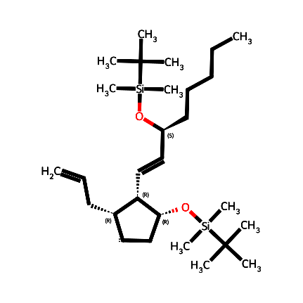 C=CC[C@H]1[C]C[C@@H](O[Si](C)(C)C(C)(C)C)[C@H]1C=C[C@H](CCCCC)O[Si](C)(C)C(C)(C)C